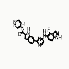 O=C(Nc1ccnnc1)c1cc2ccc(-c3nccc(Nc4ccc5[nH]ncc5c4F)n3)cc2[nH]1